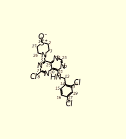 [O-][S+]1CCN(c2nc(Cl)nc3c(NCc4ccc(Cl)cc4Cl)ncnc23)CC1